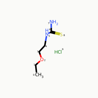 CCOCCNC(N)=S.Cl